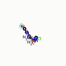 C=C(/C=C\C(=C/C)N1CCN(c2ccc(OC(F)(F)F)cc2)CC1)CNC(=O)c1c(CC)nc2c(Cl)cccn12